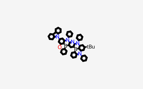 CC(C)(C)c1cc2c3c(c1)N(c1ccccc1)c1nc4c(cc1B3c1ccccc1N2c1ccccc1)B1c2ccccc2Oc2cc(-n3c5ccccc5c5ccccc53)cc(c21)N4c1ccccc1